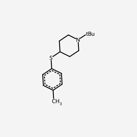 Cc1ccc(SC2CCN(C(C)(C)C)CC2)cc1